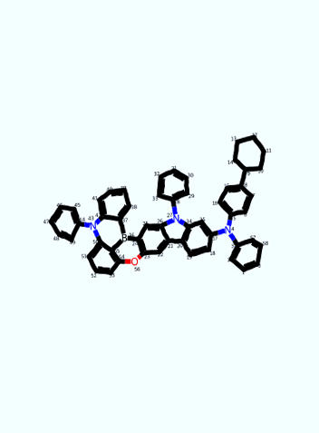 c1ccc(N(c2ccc(C3CCCCC3)cc2)c2ccc3c4cc5c(cc4n(-c4ccccc4)c3c2)B2c3ccccc3N(c3ccccc3)c3cccc(c32)O5)cc1